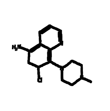 CN1CCN(C2=c3ncccc3=C(N)CC2Cl)CC1